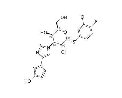 OC[C@H]1O[C@H](Sc2ccc(F)c(Cl)c2)[C@H](O)[C@@H](n2cc(-c3csc(O)n3)nn2)[C@H]1O